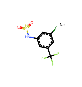 O=[SH](=O)Nc1cc(Cl)cc(C(F)(F)F)c1.[Na]